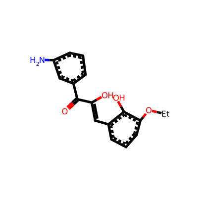 CCOc1cccc(C=C(O)C(=O)c2cccc(N)c2)c1O